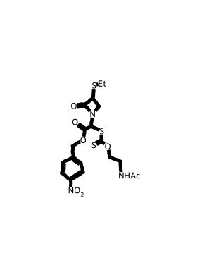 CCSC1CN(C(SC(=S)OCCNC(C)=O)C(=O)OCc2ccc([N+](=O)[O-])cc2)C1=O